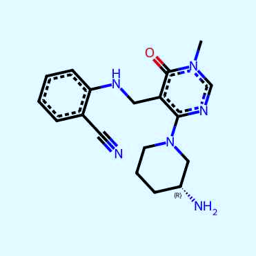 Cn1cnc(N2CCC[C@@H](N)C2)c(CNc2ccccc2C#N)c1=O